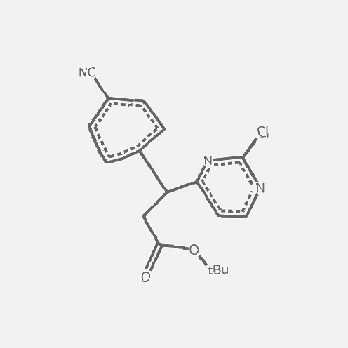 CC(C)(C)OC(=O)CC(c1ccc(C#N)cc1)c1ccnc(Cl)n1